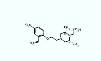 C=Cc1cc([N+](=O)[O-])ccc1OCCN1C[C@@H](C)N(CC(=O)O)[C@@H](C)C1